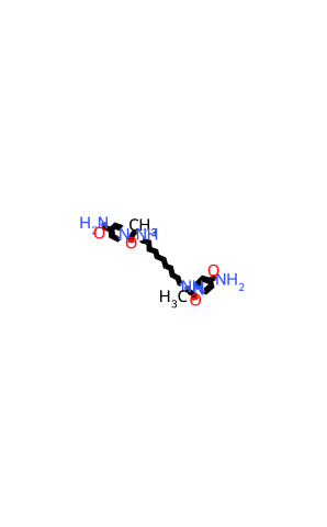 CC(NCCCCCCCCCCCNC(C)C(=O)N1C=CC(C(N)=O)=CC1)C(=O)N1C=CC(C(N)=O)=CC1